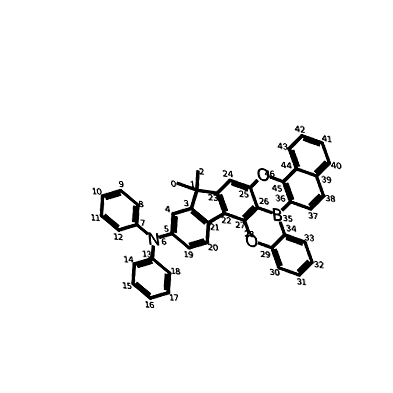 CC1(C)c2cc(N(c3ccccc3)c3ccccc3)ccc2-c2c1cc1c3c2Oc2ccccc2B3c2ccc3ccccc3c2O1